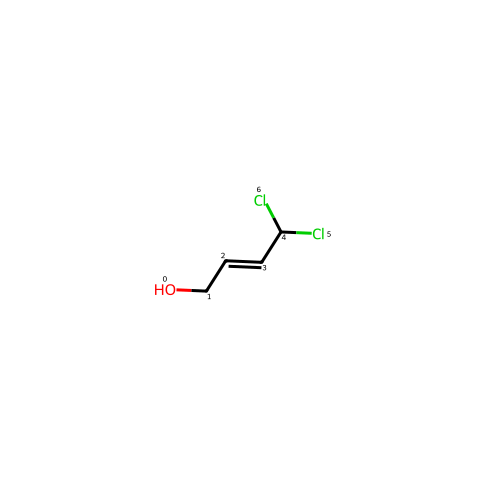 OCC=CC(Cl)Cl